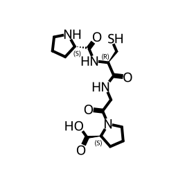 O=C(N[C@@H](CS)C(=O)NCC(=O)N1CCC[C@H]1C(=O)O)[C@@H]1CCCN1